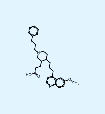 COc1ccc2nccc(CCCC3CCN(CCCc4ccccc4)CC3CCC(=O)O)c2c1